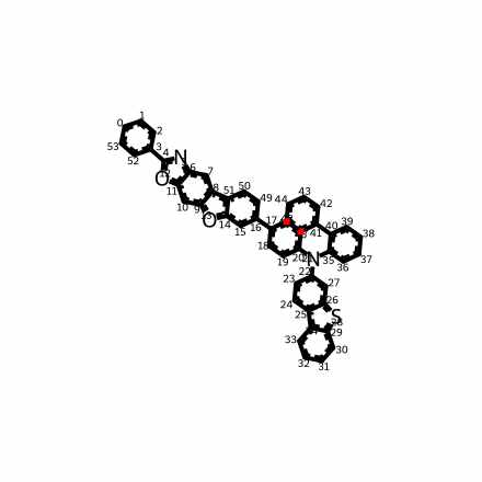 c1ccc(-c2nc3cc4c(cc3o2)oc2cc(-c3ccc(N(c5ccc6c(c5)sc5ccccc56)c5ccccc5-c5ccccc5)cc3)ccc24)cc1